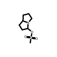 CS(=O)(=O)OC1CCC2CCCN21